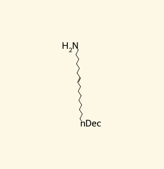 CCCCCCCCCCCCCCCCCCC=CCCCCCCN